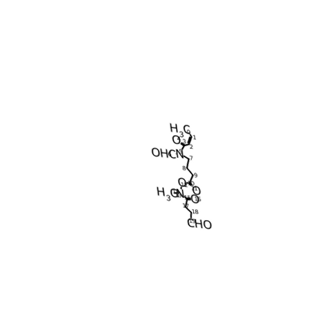 C/C=C\C(=O)N(C=O)CCCC(=O)ON(C)C(=O)CCC=O